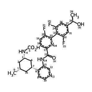 C[C@@H]1C[C@H](NC(=O)O)C[C@H](c2ccncc2NC(=O)c2ccc(F)c(-c3c(F)cc([C@@H](C)O)cc3F)n2)C1